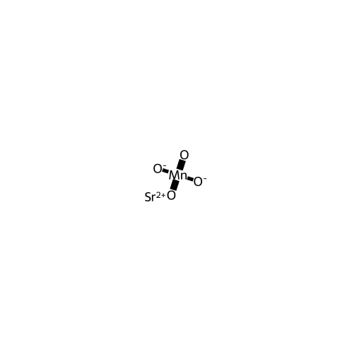 [O]=[Mn](=[O])([O-])[O-].[Sr+2]